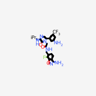 CC(C)Nc1ncc(-c2cc(N)cc(C(F)(F)F)c2)n(CC(=O)NCc2ccc3c(N)noc3c2F)c1=O